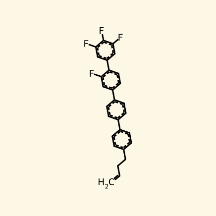 C=CCCc1ccc(-c2ccc(-c3ccc(-c4cc(F)c(F)c(F)c4)c(F)c3)cc2)cc1